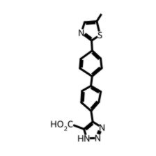 Cc1cnc(-c2ccc(-c3ccc(-c4nn[nH]c4C(=O)O)cc3)cc2)s1